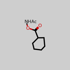 CC(=O)NOC(=O)C1CCCCC1